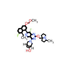 CCc1c(F)ccc2cc(OCOC)cc(-c3ncc4c(N5C[C@@H]6C[C@H](C5)[C@H](O)C6)nc(OCC56CCCN5C(C)CC6)nc4c3F)c12